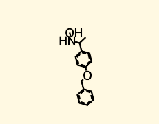 CC(NO)c1ccc(OCc2ccccc2)cc1